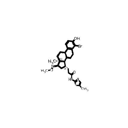 CON=C1C[C@@H](CCC(=O)Nc2ncc(C)s2)C2C3CCc4c(ccc(O)c4Br)C3CC[C@]12C